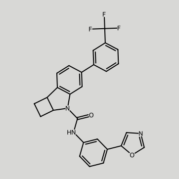 O=C(Nc1cccc(-c2cnco2)c1)N1c2cc(-c3cccc(C(F)(F)F)c3)ccc2C2CCC21